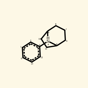 c1ccc([SiH]2C3CCCC2CC3)cc1